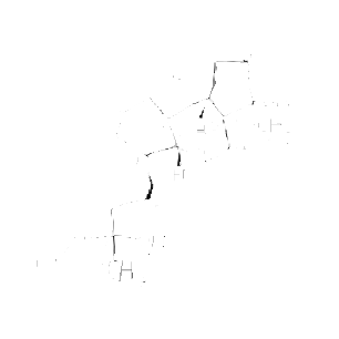 COC(C)(O)CC[C@H]1CCC[C@@H]2[C@@H]1CC[C@]1(C)C(=O)CC[C@@H]21